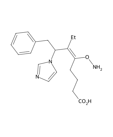 CC/C(=C(/CCCC(=O)O)ON)C(Cc1ccccc1)n1ccnc1